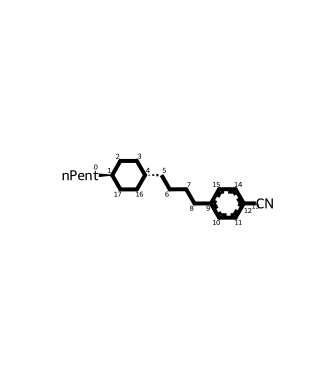 CCCCC[C@H]1CC[C@H](CCCCc2ccc(C#N)cc2)CC1